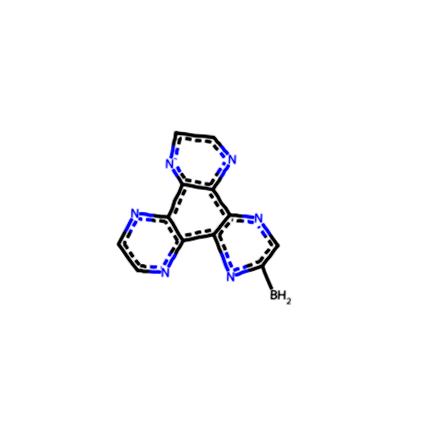 Bc1cnc2c3nccnc3c3nccnc3c2n1